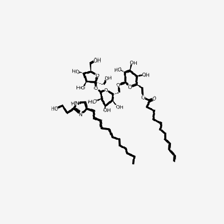 CCCCCCCCCCCC(=O)OC[C@H]1OC(OC[C@H]2OC(O[C@]3(CO)O[C@H](CO)[C@@H](O)[C@@H]3O)[C@H](O)[C@@H](O)[C@@H]2O)[C@H](O)[C@@H](O)[C@H]1O.CCCCCCCCCCCCC1CNC(CCO)=N1